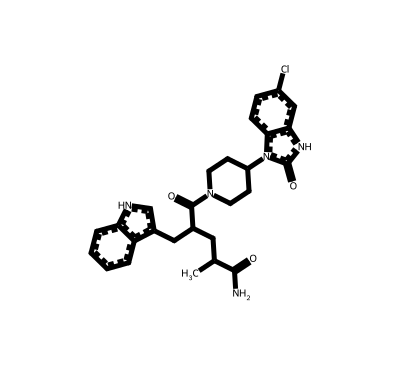 CC(CC(Cc1c[nH]c2ccccc12)C(=O)N1CCC(n2c(=O)[nH]c3cc(Cl)ccc32)CC1)C(N)=O